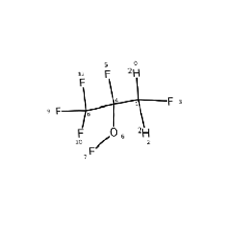 [2H]C([2H])(F)C(F)(OF)C(F)(F)F